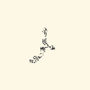 CN1CCN(c2cc(NCC3CCN(C(=O)OC(C)(C)C)CC3)c3cnn(CCCN4CCOCC4)c3c2)CC1